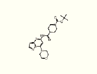 CC(C)(C)OC(=O)N1CCC(C(=O)Nc2cc(N3CCOCC3)n3nccc3n2)CC1